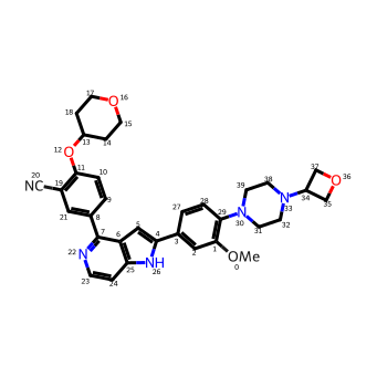 COc1cc(-c2cc3c(-c4ccc(OC5CCOCC5)c(C#N)c4)nccc3[nH]2)ccc1N1CCN(C2COC2)CC1